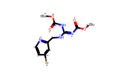 CC(C)(C)OC(=O)/N=C(/NCc1cc(Br)ccn1)NC(=O)OC(C)(C)C